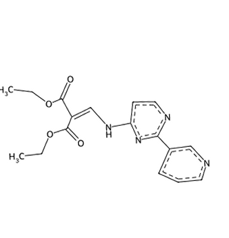 CCOC(=O)C(=CNc1ccnc(-c2cccnc2)n1)C(=O)OCC